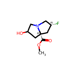 COC(=O)[C@]12CC(O)CN1C[C@H](F)C2